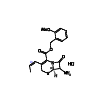 C/C=C\C1=C(C(=O)OCc2ccccc2OC)N2C(=O)C(N)[C@H]2SC1.Cl